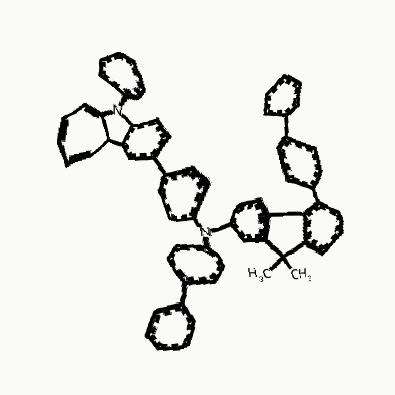 CC1(C)c2cc(N(c3ccc(-c4ccccc4)cc3)c3ccc(-c4ccc5c(c4)C4C=CC=CC=C4N5c4ccccc4)cc3)ccc2-c2c(-c3ccc(-c4ccccc4)cc3)cccc21